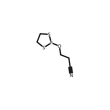 N#CCCOP1SCCS1